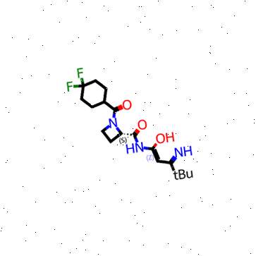 CC(C)(C)C(=N)/C=C(\O)NC(=O)[C@@H]1CCN1C(=O)C1CCC(F)(F)CC1